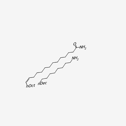 CCCCCCCC/C=C\CCCCCCCCCCCC(N)=O.CCCCCCCCCCCCCCCCCCN